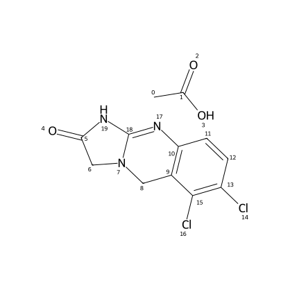 CC(=O)O.O=C1CN2Cc3c(ccc(Cl)c3Cl)N=C2N1